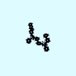 c1ccc(-c2cccc(-c3nc(-c4ccccc4)nc(-c4cccc(-c5cccc(-c6cc(-c7ccc8c(c7)oc7cc9ccccc9cc78)nc(-c7ccccc7)n6)c5)c4)n3)c2)cc1